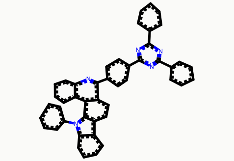 c1ccc(-c2nc(-c3ccccc3)nc(-c3ccc(-c4nc5ccccc5c5c4ccc4c6ccccc6n(-c6ccccc6)c45)cc3)n2)cc1